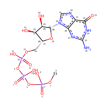 CCOP(=O)(O)OP(=O)(O)OP(=O)(O)OC[C@H]1O[C@@H](n2cnc3c(=O)[nH]c(N)nc32)[C@H](O)[C@@H]1O